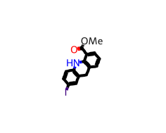 COC(=O)c1cccc2c1Nc1ccc(I)cc1C2